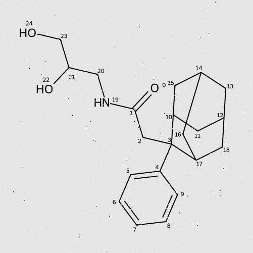 O=C(CC1(c2ccccc2)C2CC3CC(C2)CC1C3)NCC(O)CO